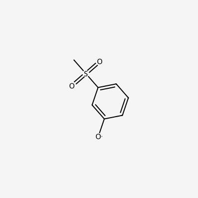 CS(=O)(=O)c1cccc([O])c1